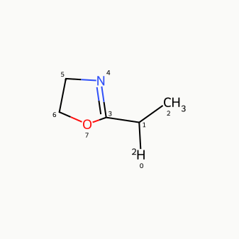 [2H]C(C)C1=NCCO1